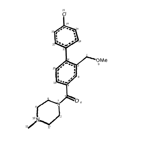 COCc1cc(C(=O)N2CCN(C)CC2)ccc1-c1ccc(Cl)cc1